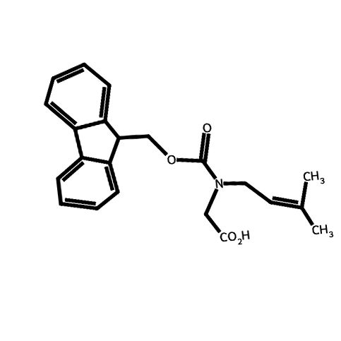 CC(C)=CCN(CC(=O)O)C(=O)OCC1c2ccccc2-c2ccccc21